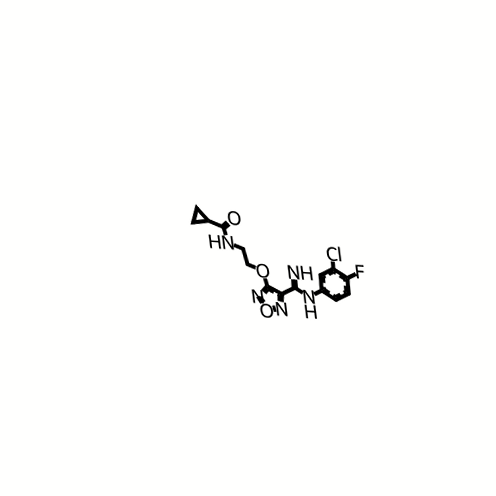 N=C(Nc1ccc(F)c(Cl)c1)c1nonc1OCCNC(=O)C1CC1